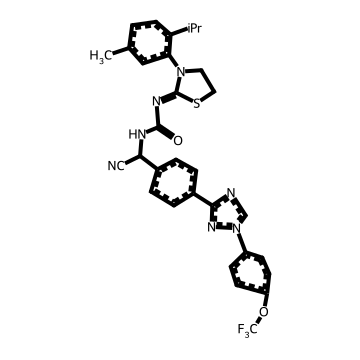 Cc1ccc(C(C)C)c(N2CCS/C2=N\C(=O)NC(C#N)c2ccc(-c3ncn(-c4ccc(OC(F)(F)F)cc4)n3)cc2)c1